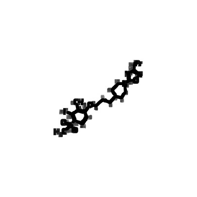 Cc1c(OCCCC2CCN(c3nc(C(C)C)no3)CC2)ccc(S(C)(=O)=O)c1F